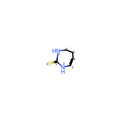 S=C1NC=CCCN1